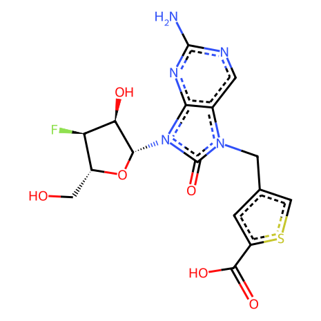 Nc1ncc2c(n1)n([C@@H]1O[C@H](CO)[C@@H](F)[C@H]1O)c(=O)n2Cc1csc(C(=O)O)c1